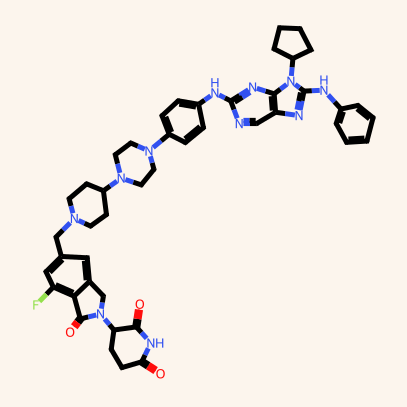 O=C1CCC(N2Cc3cc(CN4CCC(N5CCN(c6ccc(Nc7ncc8nc(Nc9ccccc9)n(C9CCCC9)c8n7)cc6)CC5)CC4)cc(F)c3C2=O)C(=O)N1